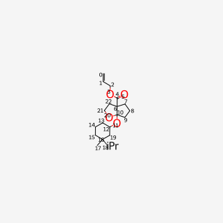 C=CCOC(=O)C12CCCC1(OC1CCCC(C)(C(C)C)C1)OCC2